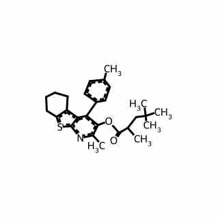 Cc1ccc(-c2c(OC(=O)C(C)CC(C)(C)C)c(C)nc3sc4c(c23)CCCC4)cc1